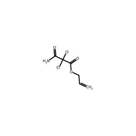 C=CCOC(=O)C(Cl)(Cl)C(N)=O